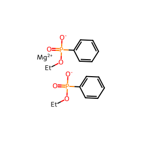 CCOP(=O)([O-])c1ccccc1.CCOP(=O)([O-])c1ccccc1.[Mg+2]